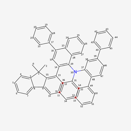 CC1(C)c2ccccc2-c2cccc(-c3cc(-c4ccccc4)c4ccccc4c3N(c3ccccc3)c3cc(-c4ccccc4)ccc3-c3ccccc3)c21